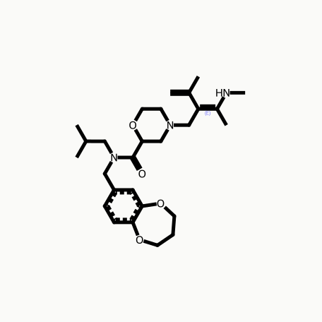 C=C(C)/C(CN1CCOC(C(=O)N(Cc2ccc3c(c2)OCCCO3)CC(C)C)C1)=C(/C)NC